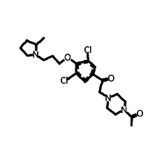 CC(=O)N1CCN(CC(=O)c2cc(Cl)c(OCCCN3CCCC3C)c(Cl)c2)CC1